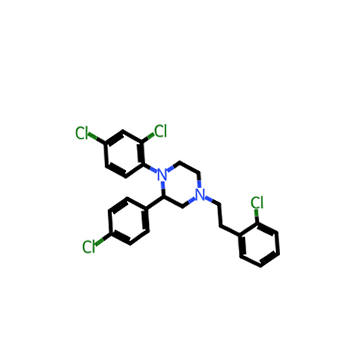 Clc1ccc(C2CN(CCc3ccccc3Cl)CCN2c2ccc(Cl)cc2Cl)cc1